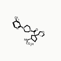 O=C(O)N[C@@H]1CC[C@@](C(=O)N2CCN(c3cc(C(F)(F)F)ccn3)CC2)([C@H]2CCOC2)C1